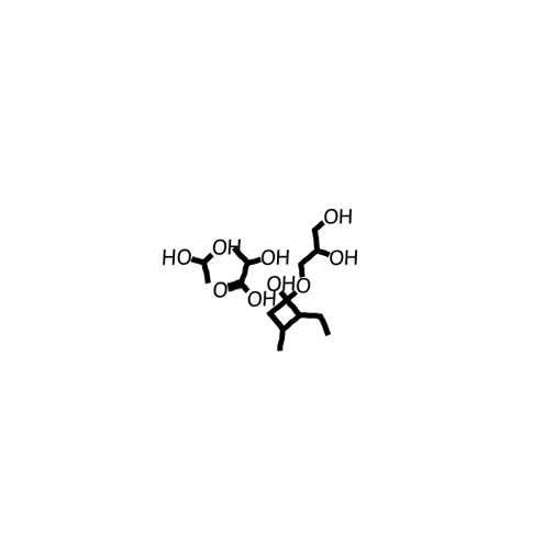 CC(O)C(=O)O.CC(O)O.CCC1C(C)CC1(O)OCC(O)CO